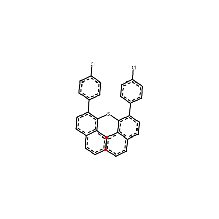 Clc1ccc(-c2ccc3ccccc3c2Sc2c(-c3ccc(Cl)cc3)ccc3ccccc23)cc1